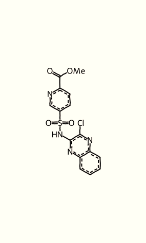 COC(=O)c1ccc(S(=O)(=O)Nc2nc3ccccc3nc2Cl)cn1